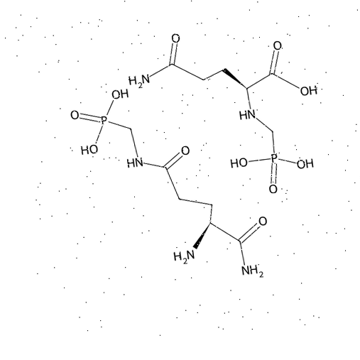 NC(=O)CC[C@H](NCP(=O)(O)O)C(=O)O.NC(=O)[C@@H](N)CCC(=O)NCP(=O)(O)O